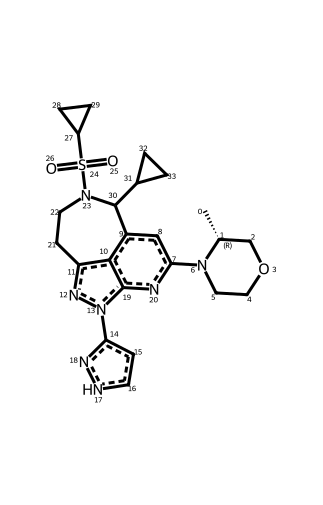 C[C@@H]1COCCN1c1cc2c3c(nn(-c4cc[nH]n4)c3n1)CCN(S(=O)(=O)C1CC1)C2C1CC1